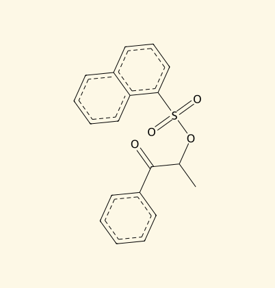 CC(OS(=O)(=O)c1cccc2ccccc12)C(=O)c1ccccc1